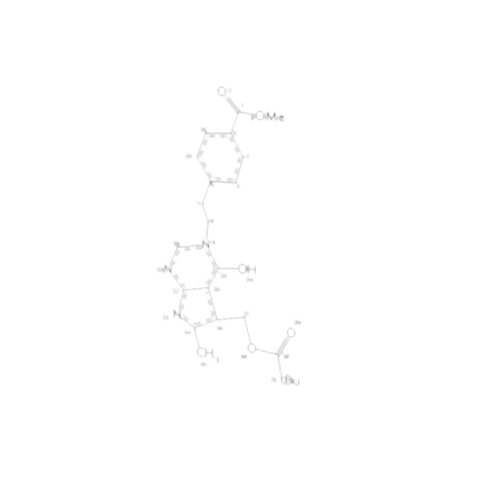 COC(=O)c1ccc(CCn2cnc3nc(C)c(COC(=O)C(C)(C)C)c-3c2O)cc1